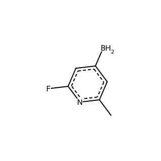 Bc1cc(C)nc(F)c1